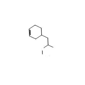 CCC(CC1CC=CCC1)OC(=O)O